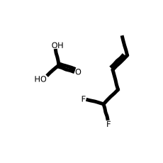 CC=CCC(F)F.O=C(O)O